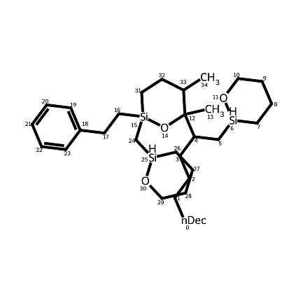 CCCCCCCCCCCCCC(C[SiH]1CCCCO1)C1(C)O[Si](CCc2ccccc2)(C[SiH]2CCCCO2)CCC1C